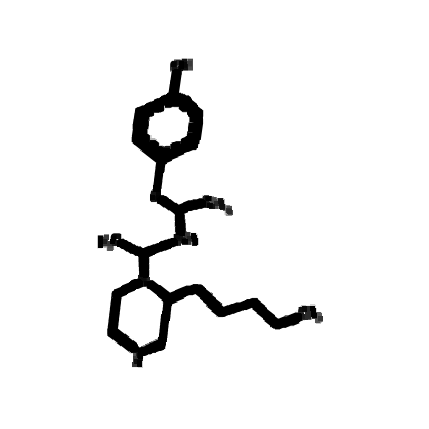 CCCCCC1CNCCN1C(C)NC(C)Oc1ccc(O)cc1